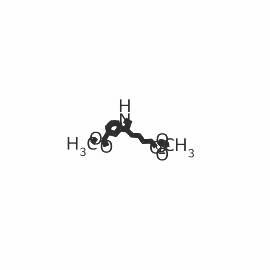 COC(=O)c1ccc2[nH]cc(CCCCOS(C)(=O)=O)c2c1